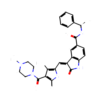 Cc1[nH]c(C=C2C(=O)Nc3ccc(C(=O)N[C@H](C)c4ccccc4)cc32)c(C)c1C(=O)N1CCN(C)CC1